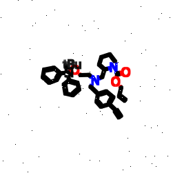 C#Cc1ccc(CN(CCO[Si](c2ccccc2)(c2ccccc2)C(C)(C)C)CC2CCCCN2C(=O)OCC=C)cc1